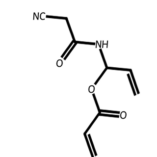 C=CC(=O)OC(C=C)NC(=O)CC#N